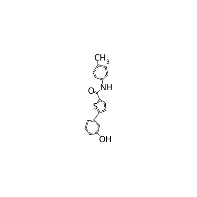 Cc1ccc(NC(=O)c2ccc(-c3cccc(O)c3)s2)cc1